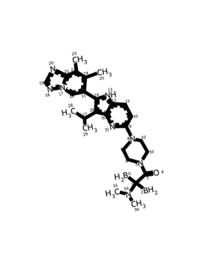 BC(B)(C(=O)N1CCN(c2ccc3[nH]c(-c4cn5ncnc5c(C)c4C)c(C(C)C)c3n2)CC1)N(C)C